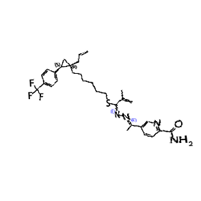 C=CC[C@]1(CCCCCCS/C(=N/N=C(\C)c2ccc(C(N)=O)nc2)C(=C)C)C[C@@H]1c1ccc(C(F)(F)F)cc1